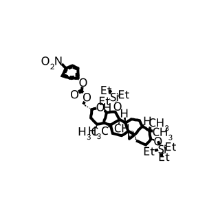 CC[Si](CC)(CC)O[C@H]1CC[C@]23C[C@]24CC[C@]2(C)C5[C@H](C)C[C@H](COC(=O)Oc6ccc([N+](=O)[O-])cc6)O[C@@H]5[C@H](O[Si](CC)(CC)CC)[C@@]2(C)[C@@H]4CC[C@H]3C1(C)C